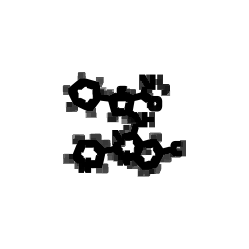 NC(=O)c1sc(-c2ccccc2)cc1Nc1nc(-c2cccnc2)nc2ccc(Cl)cc12